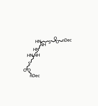 CCCCCCCCCCCCOC(=O)CCSCCCC(=N)NCCNCCNC(=N)CCCSCCC(=O)OCCCCCCCCCCCC